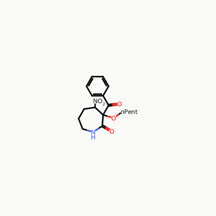 CCCCCOC1(C(=O)c2ccccc2)C(=O)NCCCC1[N+](=O)[O-]